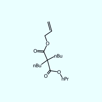 C=CCOC(=O)C(CCCC)(CCCC)C(=O)OCCC